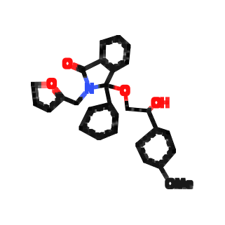 COc1ccc(C(O)COC2(c3ccccc3)c3ccccc3C(=O)N2Cc2ccco2)cc1